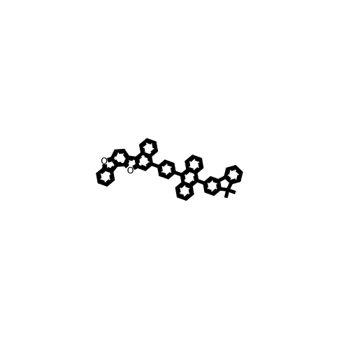 CC1(C)c2ccccc2-c2cc(-c3c4ccccc4c(-c4ccc(-c5cc6oc7c(ccc8oc9ccccc9c87)c6c6ccccc56)cc4)c4ccccc34)ccc21